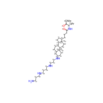 COC(=O)C(NC(=O)CCCC1CCC2C3CCC4CC(NCCCNCCCCNCCCN)CCC4(C)C3CCC12C)C(C)C